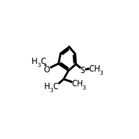 COc1cccc(SC)c1C(C)C